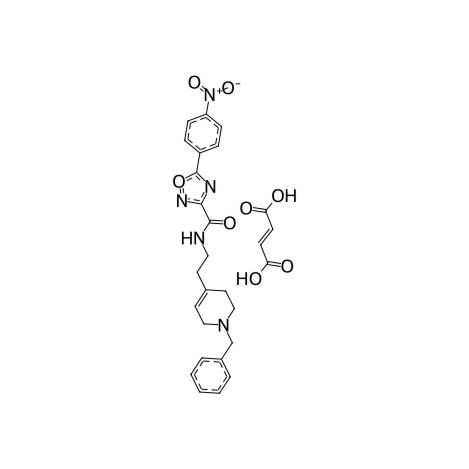 O=C(NCCC1=CCN(Cc2ccccc2)CC1)c1noc(-c2ccc([N+](=O)[O-])cc2)n1.O=C(O)/C=C/C(=O)O